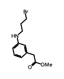 COC(=O)Cc1cccc(NCCCBr)c1